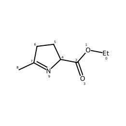 CCOC(=O)C1CCC(C)=N1